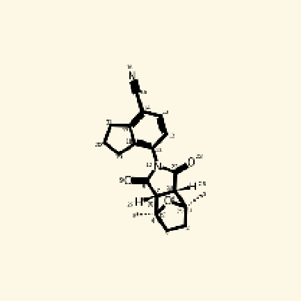 C[C@]12CC[C@](C)(O1)[C@@H]1C(=O)N(c3ccc(C#N)c4c3CCC4)C(=O)[C@@H]12